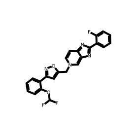 Fc1ccccc1-c1nc2ccn(Cc3cc(-c4ccccc4OC(F)F)no3)cc-2n1